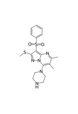 CSc1nn2c(N3CCNCC3)c(C)c(C)nc2c1S(=O)(=O)c1ccccc1